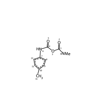 CNC(=O)OC(=O)Nc1ccc(C)cc1